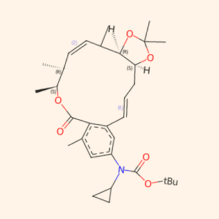 Cc1cc(N(C(=O)OC(C)(C)C)C2CC2)cc2c1C(=O)O[C@@H](C)[C@H](C)/C=C\C(C)[C@H]1OC(C)(C)O[C@H]1C/C=C/2